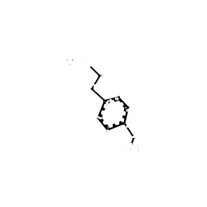 COCCc1ccc(CC(C)C)cc1